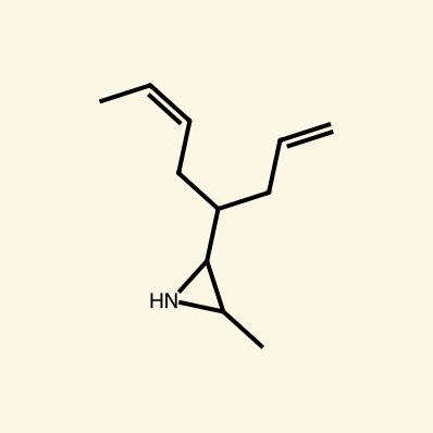 C=CCC(C/C=C\C)C1NC1C